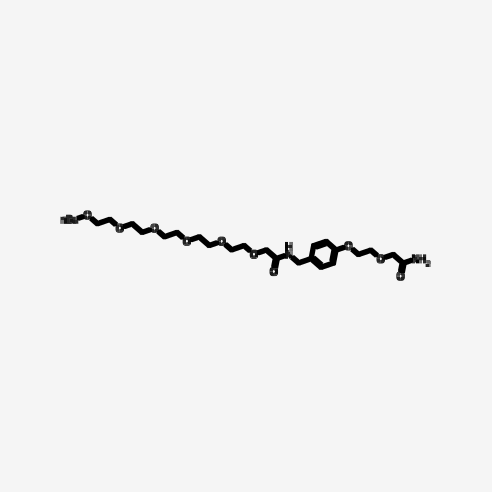 CCCCOCCOCCOCCOCCOCCOCC(=O)NCc1ccc(OCCOCC(N)=O)cc1